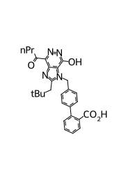 CCCC(=O)c1nnc(O)c2c1nc(CC(C)(C)C)n2Cc1ccc(-c2ccccc2C(=O)O)cc1